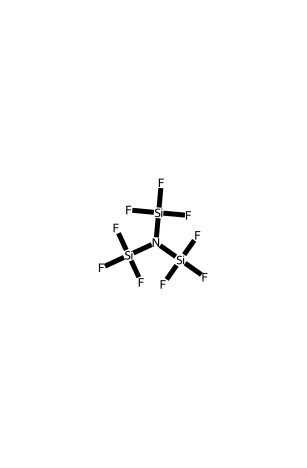 F[Si](F)(F)N([Si](F)(F)F)[Si](F)(F)F